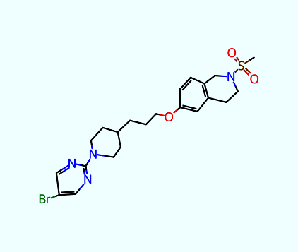 CS(=O)(=O)N1CCc2cc(OCCCC3CCN(c4ncc(Br)cn4)CC3)ccc2C1